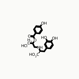 CC(CN[C@@H](Cc1ccc(O)c(O)c1)C(=O)O)OC(=O)c1ccc(O)cc1.Cl